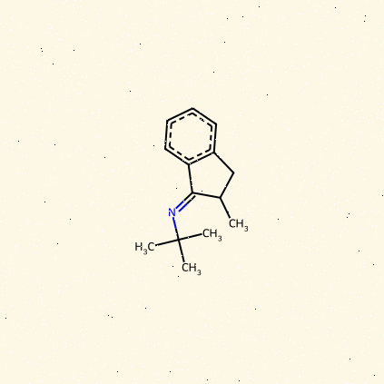 CC1Cc2ccccc2/C1=N/C(C)(C)C